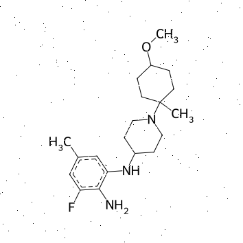 COC1CCC(C)(N2CCC(Nc3cc(C)cc(F)c3N)CC2)CC1